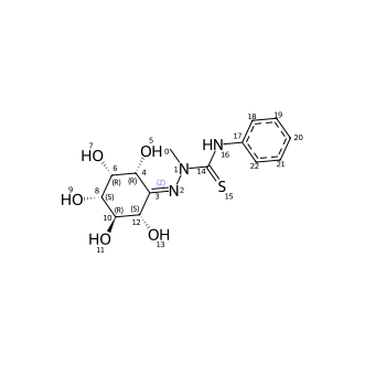 CN(/N=C1\[C@@H](O)[C@@H](O)[C@@H](O)[C@H](O)[C@H]1O)C(=S)Nc1ccccc1